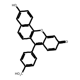 O=C(O)c1ccc(-c2c3ccc(=O)cc-3oc3c2ccc2cc(O)ccc23)cc1